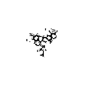 CC[C@@]1(O)C(=O)OCc2c1cc1n(c2=O)Cc2c-1nc1cc(Cl)c(C)c3c1c2[C@@H](NC(=O)[C@H](O)C1CC1)CC3